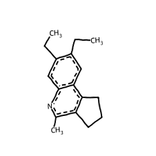 CCc1cc2nc(C)c3c(c2cc1CC)CCC3